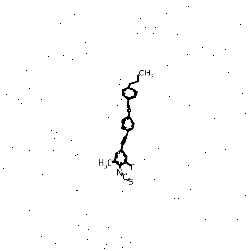 CCCCc1ccc(C#Cc2ccc(C#Cc3cc(C)c(N=C=S)c(F)c3)cc2)cc1